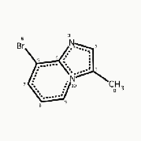 Cc1cnc2c(Br)cccn12